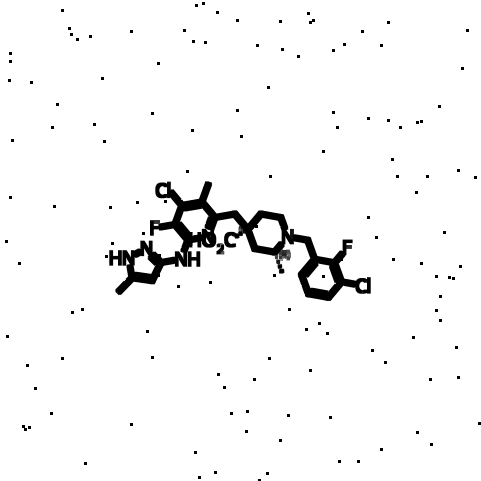 Cc1cc(Nc2nc(C[C@@]3(C(=O)O)CCN(Cc4cccc(Cl)c4F)[C@H](C)C3)c(C)c(Cl)c2F)n[nH]1